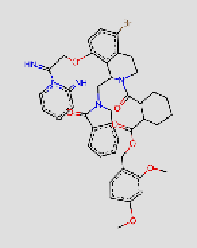 COc1ccc(COC(=O)C2CCCCC2C(=O)N2CCc3c(Br)ccc(OCC(=N)n4ccccc4=N)c3C2CN2Cc3ccccc3C2=O)c(OC)c1